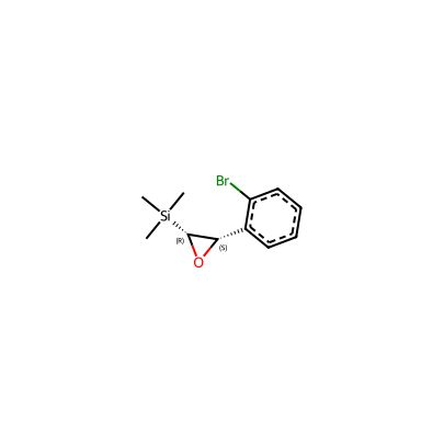 C[Si](C)(C)[C@H]1O[C@H]1c1ccccc1Br